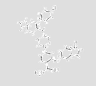 N=C(N)c1ccc(N2CCN(CC3=C(c4ccc(Cl)cc4)CC4(CCC4)CC3)CC2)cc1Oc1cnc2[nH]ccc2c1